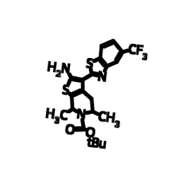 CC1Cc2c(sc(N)c2-c2nc3cc(C(F)(F)F)ccc3s2)C(C)N1C(=O)OC(C)(C)C